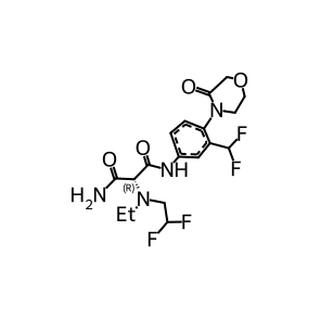 CCN(CC(F)F)[C@H](C(N)=O)C(=O)Nc1ccc(N2CCOCC2=O)c(C(F)F)c1